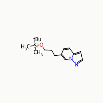 CC(C)(C)[Si](C)(C)OCCCc1ccc2ccnn2c1